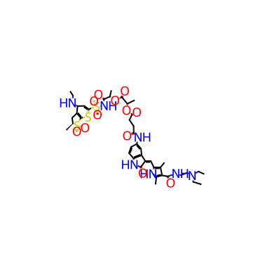 CCN[C@H]1C=C(S(=O)(=O)NC(=O)C(C)OC(=O)C(C)OC(=O)CCC(=O)Nc2ccc3c(c2)/C(=C/c2[nH]c(C)c(C(=O)NCCN(CC)CC)c2C)C(=O)N3)SC2=C1C[C@H](C)S2(=O)=O